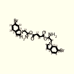 NC(Cn1ccc2ccc(Br)cc21)OC(=O)/C=C/C(=O)OC(N)Cn1ccc2ccc(Br)cc21